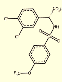 O=C(O)[C@H](NS(=O)(=O)c1ccc(OC(F)(F)F)cc1)c1ccc(Cl)c(Cl)c1